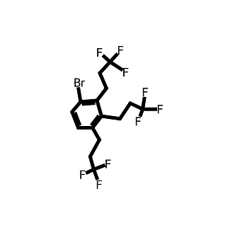 FC(F)(F)CCc1ccc(Br)c(CCC(F)(F)F)c1CCC(F)(F)F